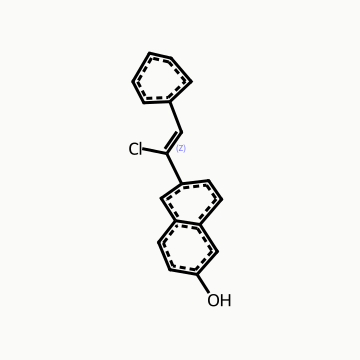 Oc1ccc2cc(/C(Cl)=C/c3ccccc3)ccc2c1